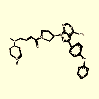 CN1CCC(N(C)C/C=C/C(=O)N2CC[C@@H](n3nc(-c4ccc(Oc5ccccc5)cc4)c4c(N)ncnc43)C2)CC1